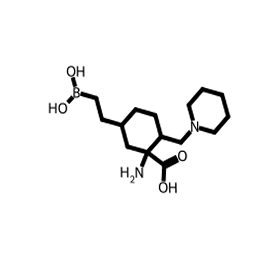 NC1(C(=O)O)CC(CCB(O)O)CCC1CN1CCCCC1